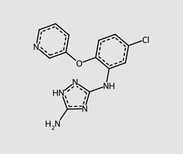 Nc1nc(Nc2cc(Cl)ccc2Oc2cccnc2)n[nH]1